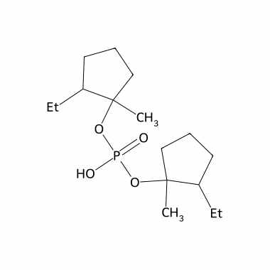 CCC1CCCC1(C)OP(=O)(O)OC1(C)CCCC1CC